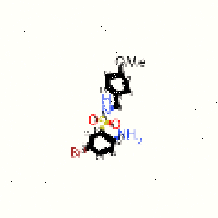 COc1ccc(CNS(=O)(=O)c2cc(Br)ccc2N)cc1